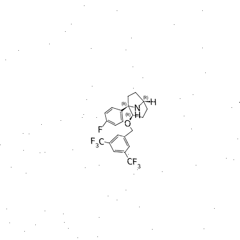 Fc1ccc([C@]23CC[C@H](CC[C@H]2OCc2cc(C(F)(F)F)cc(C(F)(F)F)c2)N3)cc1